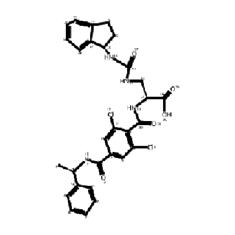 C[C@@H](NC(=O)c1cc(Cl)c(C(=O)N[C@@H](CNC(=O)N[C@@H]2CCc3ccccc32)C(=O)O)c(Cl)c1)c1ccccc1